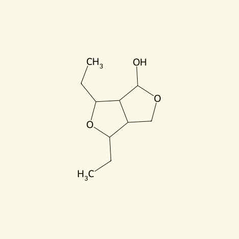 CCC1OC(CC)C2C(O)OCC12